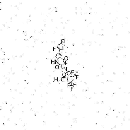 C[C@@H](OC(=O)N1CCN2C(=O)c3cc(-c4ccc(Cl)cc4F)ccc3NC(=O)C2C1)c1cc(C(F)(F)F)cc(C(F)(F)F)c1